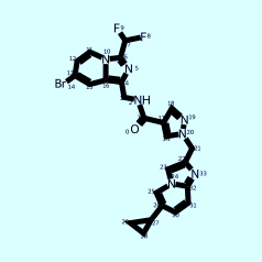 O=C(NCc1nc(C(F)F)n2ccc(Br)cc12)c1cnn(Cc2cn3cc(C4CC4)ccc3n2)c1